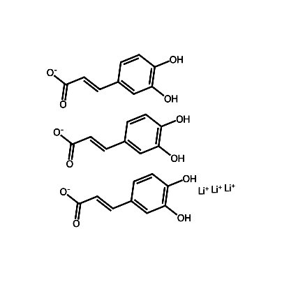 O=C([O-])C=Cc1ccc(O)c(O)c1.O=C([O-])C=Cc1ccc(O)c(O)c1.O=C([O-])C=Cc1ccc(O)c(O)c1.[Li+].[Li+].[Li+]